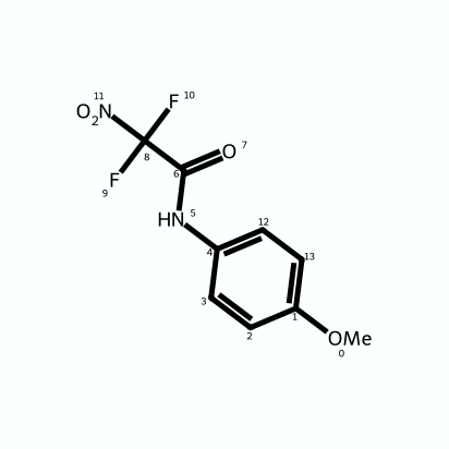 COc1ccc(NC(=O)C(F)(F)[N+](=O)[O-])cc1